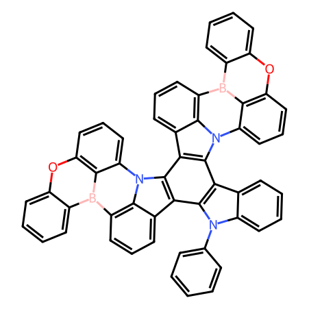 c1ccc(-n2c3ccccc3c3c2c2c4cccc5c4n(c2c2c4cccc6c4n(c32)-c2cccc3c2B6c2ccccc2O3)-c2cccc3c2B5c2ccccc2O3)cc1